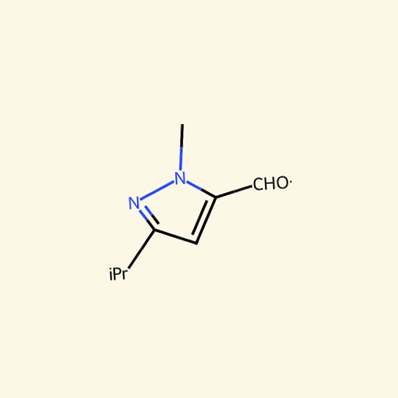 CC(C)c1cc([C]=O)n(C)n1